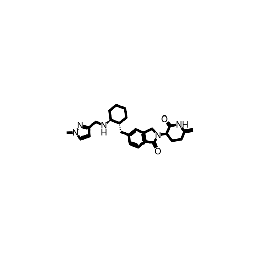 C=C1CCC(N2Cc3cc(C[C@H]4CCCC[C@@H]4NCc4ccn(C)n4)ccc3C2=O)C(=O)N1